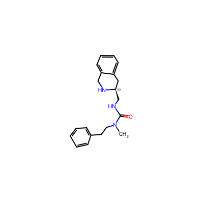 CN(CCc1ccccc1)C(=O)NC[C@@H]1Cc2ccccc2CN1